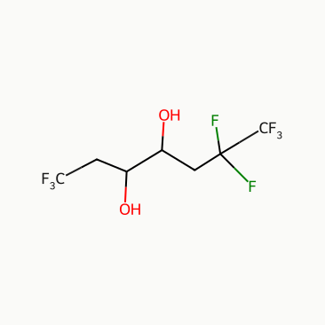 OC(CC(F)(F)F)C(O)CC(F)(F)C(F)(F)F